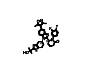 Cc1noc(C)c1-c1ccc2c(c1)nc([C@@H]1CCCC(=O)N1c1ccc(F)c(F)c1)n2[C@@H]1CCc2nc(C(C)(C)O)sc2C1